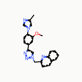 COc1cc(-c2cn(Cc3ccc4ccccc4n3)nn2)ccc1-n1cnc(C)c1